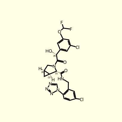 O=C(NCc1cc(Cl)ccc1-n1cnnn1)[C@@H]1[C@H]2C[C@H]2CN1C(=O)[C@H](O)c1cc(Cl)cc(OC(F)F)c1